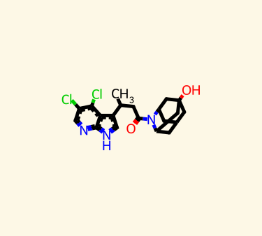 CC(CC(=O)N1C2CC3CC1CC(O)(C3)C2)c1c[nH]c2ncc(Cl)c(Cl)c12